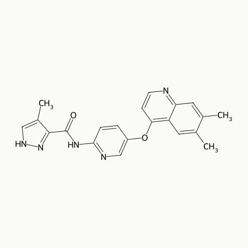 Cc1cc2nccc(Oc3ccc(NC(=O)c4n[nH]cc4C)nc3)c2cc1C